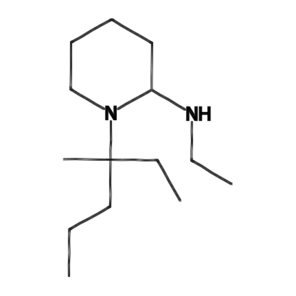 CCCC(C)(CC)N1CCCCC1NCC